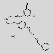 Cl.Clc1cc(Cl)cc(COC2CNCCC2c2ccc(OCCCOCc3ccccc3)cc2)c1